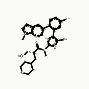 CN(C(=O)[C@@H](CC(=O)O)CC1CCOCC1)c1nc(-c2cc(F)ccc2-c2cnc3c(ccn3C)c2)c(F)s1